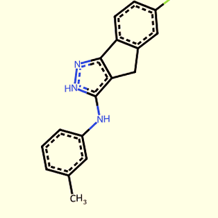 Cc1cccc(Nc2[nH]nc3c2Cc2cc(F)ccc2-3)c1